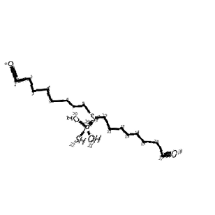 O=CCCCCCCCS(CCCCCCCC=O)=P(O)(O)S